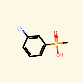 CP(=O)(O)c1cccc(N)c1